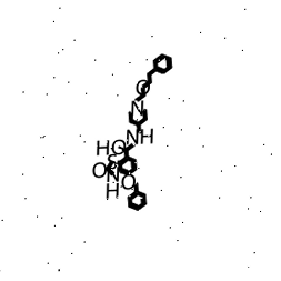 O=c1[nH]c2c(OCc3ccccc3)ccc([C@@H](O)CNCC3CCN(CCOCCc4ccccc4)CC3)c2s1